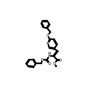 COC(=O)C(=Cc1ccc(OCc2ccccc2)nc1)NC(=O)OCc1ccccc1